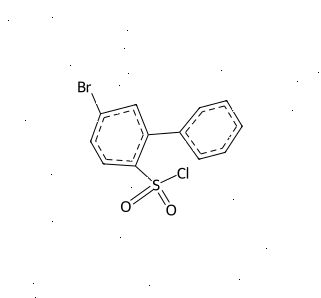 O=S(=O)(Cl)c1ccc(Br)cc1-c1ccccc1